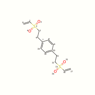 C=CS(=O)(=O)CCc1ccc(CCS(=O)(=O)C=C)cc1